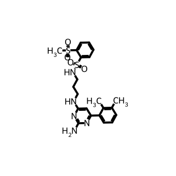 Cc1cccc(-c2cc(NCCCNS(=O)(=O)c3ccccc3S(C)(=O)=O)nc(N)n2)c1C